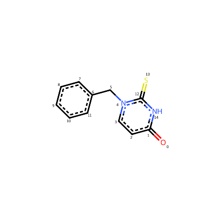 O=c1ccn(Cc2ccccc2)c(=S)[nH]1